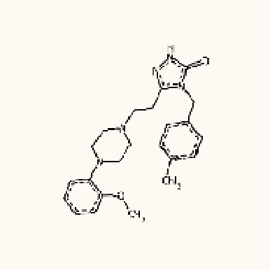 COc1ccccc1N1CCN(CCc2n[nH]c(=O)n2Cc2ccc(C)cc2)CC1